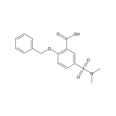 CN(C)S(=O)(=O)c1ccc(OCc2ccccc2)c(C(=O)O)c1